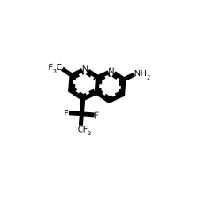 Nc1ccc2c(C(F)(F)C(F)(F)F)cc(C(F)(F)F)nc2n1